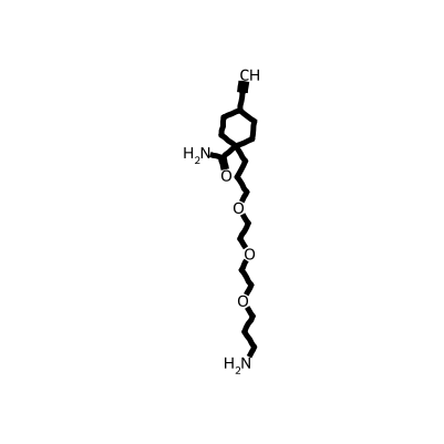 C#CC1CCC(CCCOCCOCCOCCCN)(C(N)=O)CC1